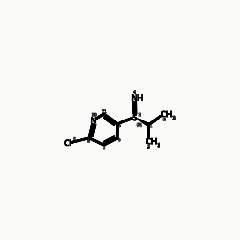 CC(C)[S@](=N)c1ccc(Cl)nc1